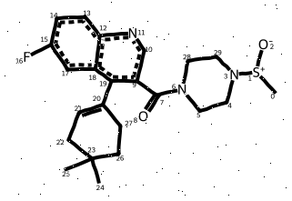 C[S+]([O-])N1CCN(C(=O)c2cnc3ccc(F)cc3c2C2=CCC(C)(C)CC2)CC1